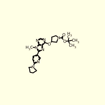 Cn1c(-c2ccc(N3CCCC3)nc2)nc2c(OC3CCN(C(=O)OC(C)(C)C)C3)ncnc21